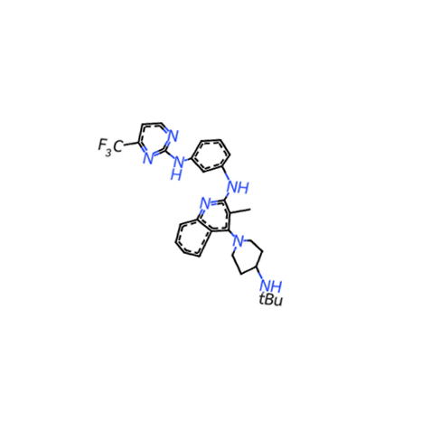 Cc1c(Nc2cccc(Nc3nccc(C(F)(F)F)n3)c2)nc2ccccc2c1N1CCC(NC(C)(C)C)CC1